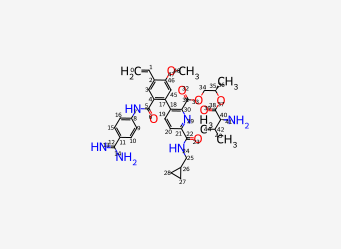 C=Cc1cc(C(=O)Nc2ccc(C(=N)N)cc2)c(-c2ccc(C(=O)NCC3CC3)nc2C(=O)OC[C@@H](C)OC(=O)[C@@H](N)C(C)C)cc1OC